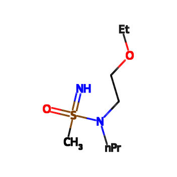 CCCN(CCOCC)S(C)(=N)=O